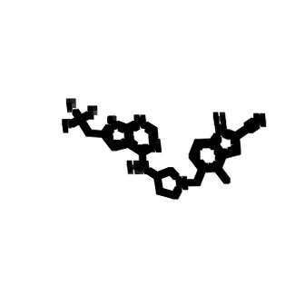 Cc1c(CN2CCC(Nc3ncnc4sc(CC(F)(F)F)cc34)C2)ccc2[nH]c(C#N)cc12